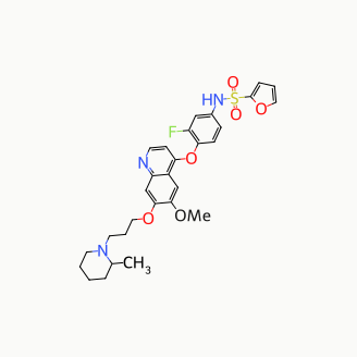 COc1cc2c(Oc3ccc(NS(=O)(=O)c4ccco4)cc3F)ccnc2cc1OCCCN1CCCCC1C